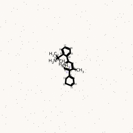 C=C(/C=C(C)\C(=C/C)C1=CC=CCC1)c1ccccc1C(C)(C)N